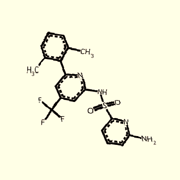 Cc1cccc(C)c1-c1cc(C(F)(F)F)cc(NS(=O)(=O)c2cccc(N)n2)n1